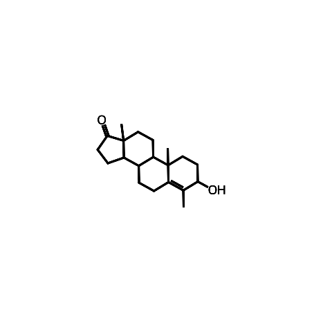 CC1=C2CCC3C4CCC(=O)C4(C)CCC3C2(C)CCC1O